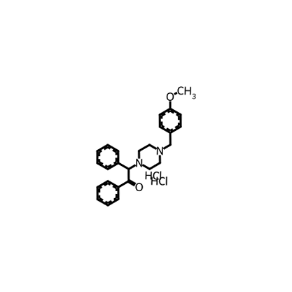 COc1ccc(CN2CCN(C(C(=O)c3ccccc3)c3ccccc3)CC2)cc1.Cl.Cl